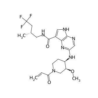 C=CC(=O)N1CC[C@@H](Nc2cnc3[nH]cc(C(=O)NC[C@H](C)CC(F)(F)F)c3n2)[C@@H](OC)C1